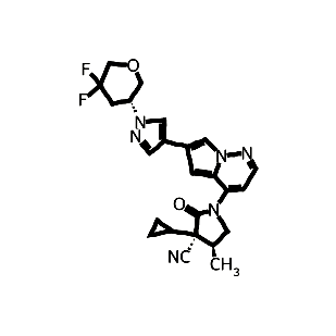 C[C@@H]1CN(c2ccnn3cc(-c4cnn([C@H]5COCC(F)(F)C5)c4)cc23)C(=O)[C@]1(C#N)C1CC1